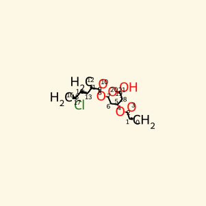 C=CC(=O)OC(CCOC(=O)C(=C)C=CC(=C)Cl)CC(=O)O